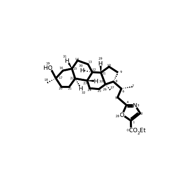 CCOC(=O)c1cnc(C[C@@H](C)[C@H]2CC[C@H]3[C@@H]4CC[C@H]5C[C@](C)(O)CC[C@@H]5[C@H]4CC[C@]23C)o1